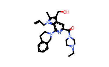 C=CCn1c(C)c(CO)c2cc(C(=O)N3CCN(CC)CC3)nc(N3CCc4ccccc4C3)c21